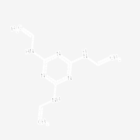 C=CNc1nc(NC=C)nc(NC=C)n1